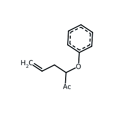 C=CCC(Oc1ccccc1)C(C)=O